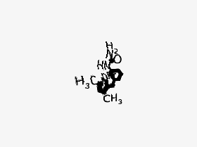 CCCn1c(C)cc(C)c1Cc1cccc(NC(N)=O)c1